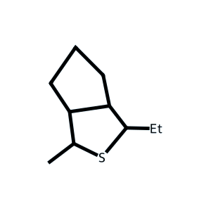 CCC1SC(C)C2CCCC12